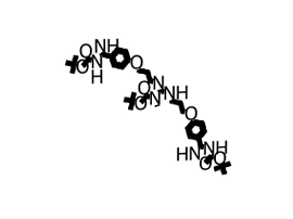 CN(C(=O)OC(C)(C)C)/C(=N\CCCOc1ccc(C(=N)NC(=O)OC(C)(C)C)cc1)NCCCOc1ccc(C(=N)NC(=O)OC(C)(C)C)cc1